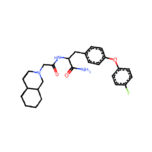 NC(=O)C(Cc1ccc(Oc2ccc(F)cc2)cc1)NC(=O)CN1CCC2CCCCC2C1